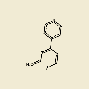 C=C/N=C(\C=C/C)c1ccnnc1